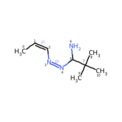 C/C=C\N=N/C(N)C(C)(C)C